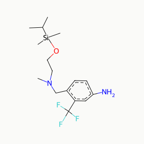 CC(C)[Si](C)(C)OCCN(C)Cc1ccc(N)cc1C(F)(F)F